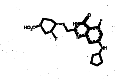 O=C(O)N1CC[C@@H](SCc2nc3cc(NC4CCCC4)cc(F)c3c(=O)[nH]2)[C@@H](F)C1